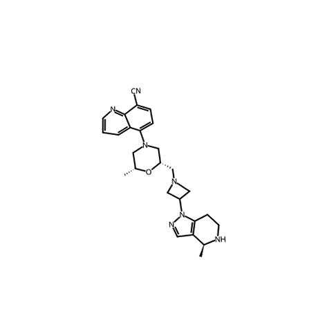 C[C@@H]1CN(c2ccc(C#N)c3ncccc23)C[C@H](CN2CC(n3ncc4c3CCN[C@H]4C)C2)O1